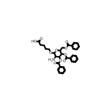 NC1C(OCCCCC(=O)O)OC(COC(=O)c2ccccc2)C(OC(=O)c2ccccc2)C1OC(=O)c1ccccc1